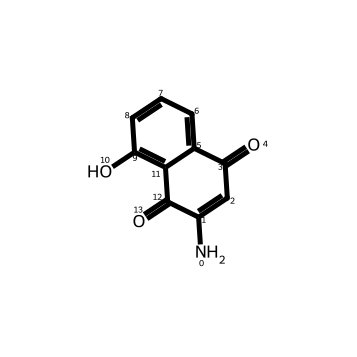 NC1=CC(=O)c2cccc(O)c2C1=O